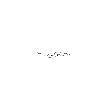 FCCCCCC1CCC(C2CCC(C3CCC(CCF)CC3)CC2)CC1